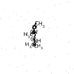 CCc1ccc(-c2nc(CCCC(=O)NCCN(C)C)c(C)o2)cc1